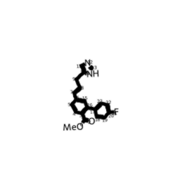 COC(=O)c1ccc(C=CCc2cnc[nH]2)cc1-c1ccc(F)cc1